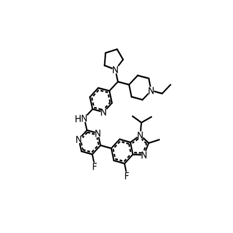 CCN1CCC(C(c2ccc(Nc3ncc(F)c(-c4cc(F)c5nc(C)n(C(C)C)c5c4)n3)nc2)N2CCCC2)CC1